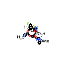 COc1ccccc1-c1nccc(COc2ccc3cc2C[C@H](C(=O)O)Oc2ncnc4sc(-c5ccc(F)cc5)c(c24)-c2c(C)cc(cc2C)O[C@H](CN2CCN(C)CC2)CO3)n1